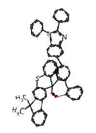 CC1(C)c2ccccc2-c2cc3c(cc21)Sc1ccccc1C31c2ccccc2-c2ccccc2-c2ccc(-c3ccc4c(c3)nc(-c3ccccc3)n4-c3ccccc3)cc21